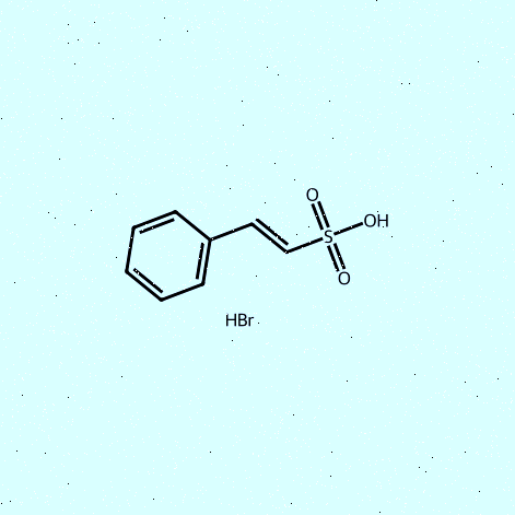 Br.O=S(=O)(O)C=Cc1ccccc1